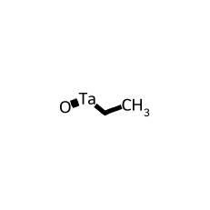 C[CH2][Ta]=[O]